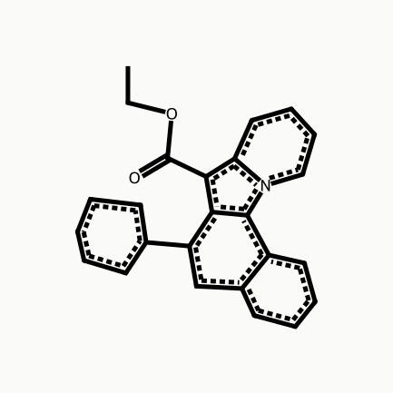 CCOC(=O)c1c2c(-c3ccccc3)cc3ccccc3c2n2ccccc12